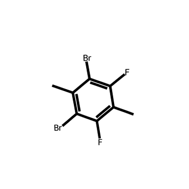 Cc1c(F)c(Br)c(C)c(Br)c1F